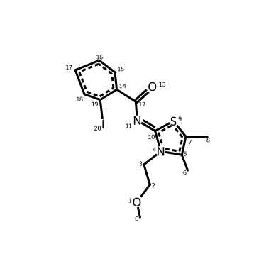 COCCn1c(C)c(C)sc1=NC(=O)c1ccccc1I